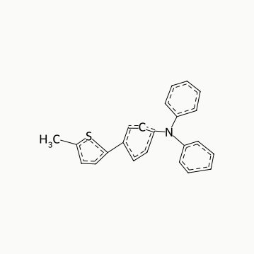 Cc1ccc(-c2ccc(N(c3ccccc3)c3ccccc3)cc2)s1